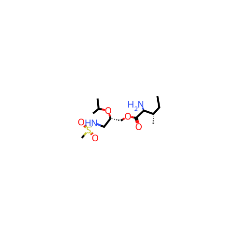 CC[C@H](C)[C@H](N)C(=O)OC[C@H](CNS(C)(=O)=O)OC(C)C